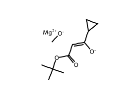 CC(C)(C)OC(=O)C=C([O-])C1CC1.C[O-].[Mg+2]